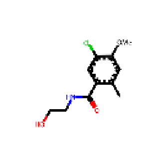 COc1cc(C)c(C(=O)NCCO)cc1Cl